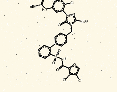 CCCCC(=O)Nc1ccc(Cl)c(-n2nc(CCCC)n(Cc3ccc(-c4ccccc4S(=O)(=O)NC(=O)c4occ(Cl)c4Cl)cc3)c2=O)c1